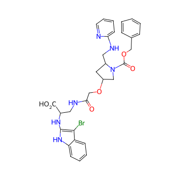 O=C(COC1CC(CNc2ccccn2)N(C(=O)OCc2ccccc2)C1)NCC(Nc1[nH]c2ccccc2c1Br)C(=O)O